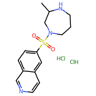 CC1CN(S(=O)(=O)c2ccc3cnccc3c2)CCCN1.Cl.Cl